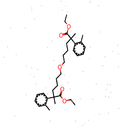 CCOC(=O)C(C)(CCCCOCCCCC(C)(C(=O)OCC)c1ccccc1C)c1ccccc1C